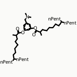 CCCCCC(CCCCC)CCCCCCC(C)C(=O)Oc1cc(CN(C)C)cc(OC(=O)C(C)CCCCCCC(CCCCC)CCCCC)c1